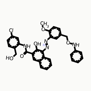 COc1ccc(CONc2ccccc2)cc1/N=N/c1c(O)c(C(=O)Nc2cc(Cl)ccc2CO)cc2ccccc12